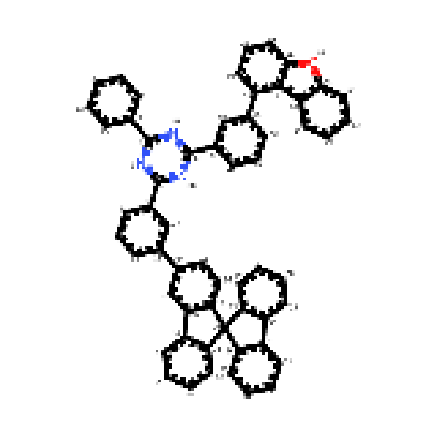 c1ccc(-c2nc(-c3cccc(-c4ccc5c(c4)-c4ccccc4C54c5ccccc5-c5ccccc54)c3)nc(-c3cccc(-c4cccc5oc6ccccc6c45)c3)n2)cc1